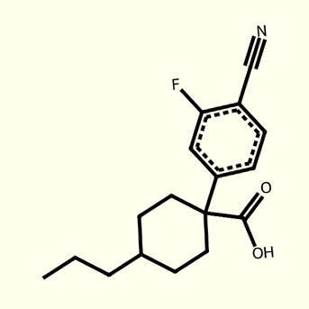 CCCC1CCC(C(=O)O)(c2ccc(C#N)c(F)c2)CC1